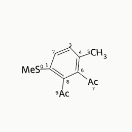 CSc1ccc(C)c(C(C)=O)c1C(C)=O